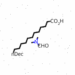 CCCCCCCCCCCCCCCCCCCCCC(=O)O.CN(C)C=O